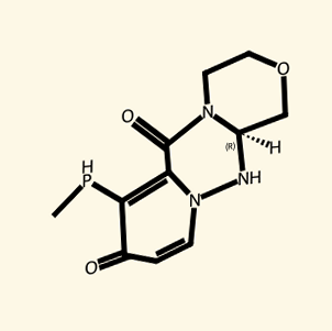 CPc1c2n(ccc1=O)N[C@@H]1COCCN1C2=O